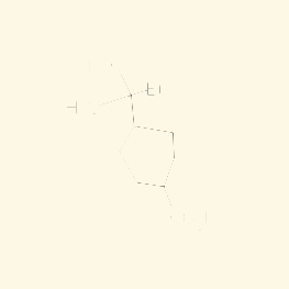 CCOC(=O)C1CCC(C(C)(C)CC)CC1